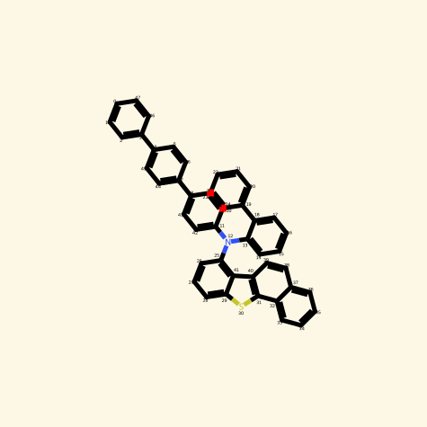 c1ccc(-c2ccc(-c3ccc(N(c4ccccc4-c4ccccc4)c4cccc5sc6c7ccccc7ccc6c45)cc3)cc2)cc1